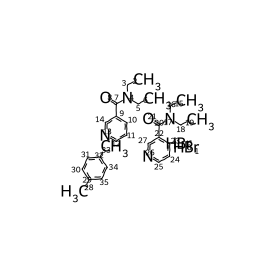 Br.Br.CCN(CC)C(=O)c1cccnc1.CCN(CC)C(=O)c1cccnc1.Cc1ccc(C)cc1